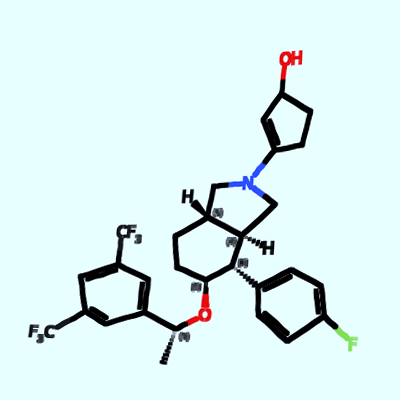 C[C@@H](O[C@H]1CC[C@@H]2CN(C3=CC(O)CC3)C[C@H]2[C@@H]1c1ccc(F)cc1)c1cc(C(F)(F)F)cc(C(F)(F)F)c1